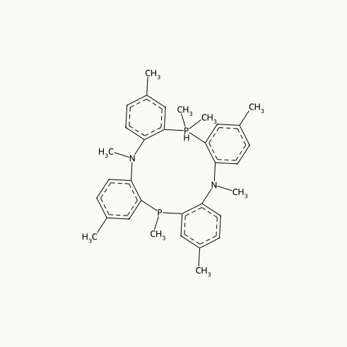 Cc1ccc2c(c1)P(C)c1cc(C)ccc1N(C)c1ccc(C)cc1[PH](C)(C)c1cc(C)ccc1N2C